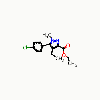 CCOC(=O)c1nn(C)c(-c2ccc(Cl)cc2)c1CC